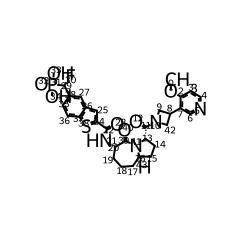 COc1ccncc1C1CN(C(=O)[C@@H]2CC[C@@H]3CCC[C@H](NC(=O)c4cc5cc([C@H](F)P(=O)(O)O)ccc5s4)C(=O)N32)C1